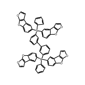 c1ccc([Si](c2cccc(-c3cccc([Si](c4ccccc4)(c4ccc5oc6occc6c5c4)c4ccc5oc6occc6c5c4)c3)c2)(c2ccc3oc4occc4c3c2)c2ccc3oc4occc4c3c2)cc1